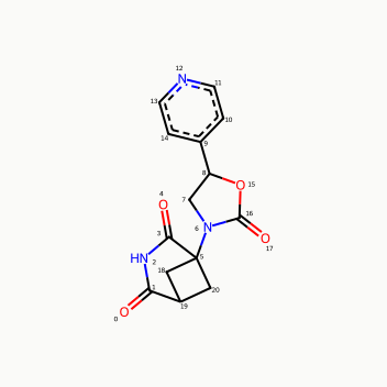 O=C1NC(=O)C2(N3CC(c4ccncc4)OC3=O)CC1C2